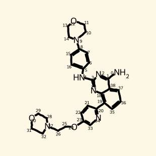 Nc1nc(Nc2ccc(N3CCOCC3)cc2)nc2c(-c3ccc(OCCN4CCOCC4)cn3)cccc12